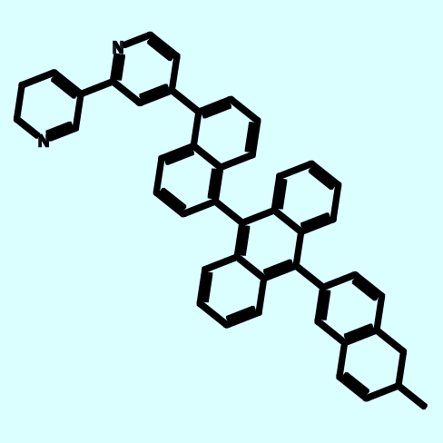 CC1C=Cc2cc(-c3c4ccccc4c(-c4cccc5c(-c6ccnc(C7=CCCN=C7)c6)cccc45)c4ccccc34)ccc2C1